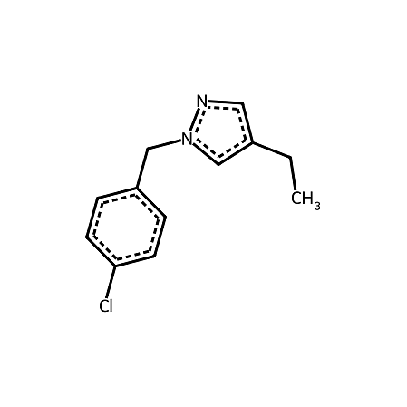 CCc1cnn(Cc2ccc(Cl)cc2)c1